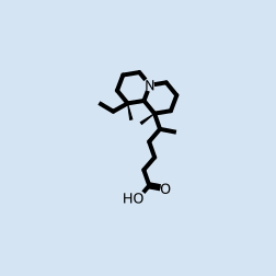 CC[C@]1(C)CCCN2CCC[C@](C)(C(C)CCCC(=O)O)C21